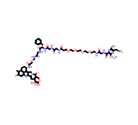 BCc1nc(C(=O)O)c(C(=O)NCC(=O)NCCOCCOCCOCCOCCC(=O)NCC(=O)NCC(=O)N[C@@H](Cc2ccccc2)C(=O)NCC(=O)NCOCC(=O)N[C@H]2CCc3c(C)c(F)cc4nc5c(c2c34)Cn2c-5cc3c(c2=O)COC(=O)[C@]3(O)CC)nc1CCC